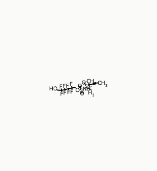 CC#CC(C)(C)[S+]([O-])NS(=O)(=O)OCC(F)(F)C(F)(F)C(F)(F)C(F)(F)CO